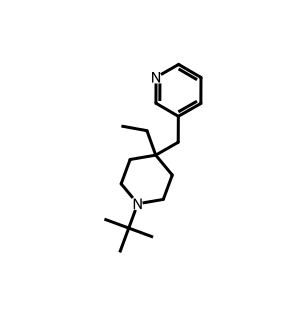 CCC1(Cc2cccnc2)CCN(C(C)(C)C)CC1